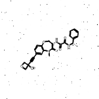 C[C@H](NC(=O)C(=O)N[C@H]1COc2ccc(C#CC3(O)COC3)cc2N(C)C1=O)c1ccccc1